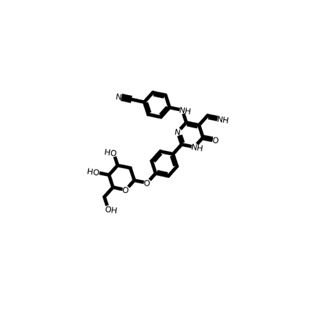 N#Cc1ccc(Nc2nc(-c3ccc(OC4CC(O)C(O)C(CO)O4)cc3)[nH]c(=O)c2C=N)cc1